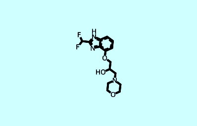 OC(COc1cccc2[nH]c(C(F)F)nc12)CN1CCOCC1